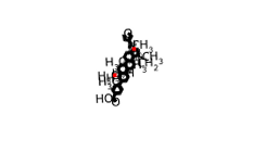 C=C(C)[C@@H]1CC[C@]2(CN(C)c3ccoc3)CC[C@]3(C)[C@H](CC[C@@H]4[C@@]5(C)CC=C(c6ccc(C(=O)O)cc6)C(C)(C)[C@@H]5CC[C@]43C)[C@@H]12